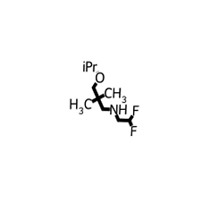 CC(C)OCC(C)(C)CNCC(F)F